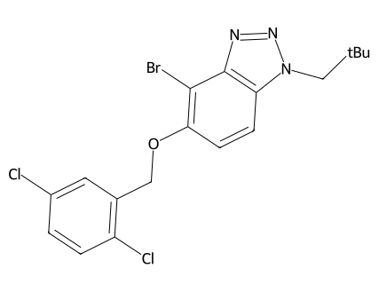 CC(C)(C)Cn1nnc2c(Br)c(OCc3cc(Cl)ccc3Cl)ccc21